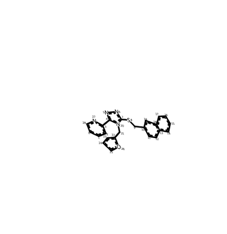 c1ccc(-c2nnc(SCc3ccc4ccccc4c3)n2Cc2ccco2)nc1